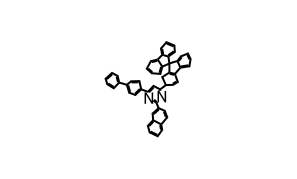 C1=CC(c2cc(-c3ccc(-c4ccccc4)cc3)nc(-c3ccc4ccccc4c3)n2)CC2=C1c1ccccc1C21c2ccccc2-c2ccccc21